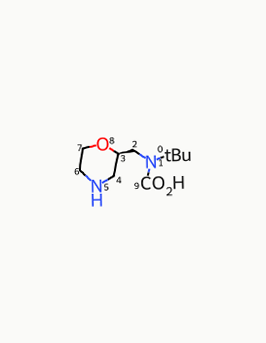 CC(C)(C)N(C[C@H]1CNCCO1)C(=O)O